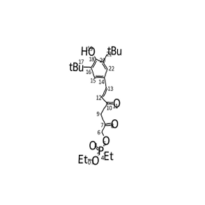 CCOP(=O)(CC)OCC(=O)CC(=O)C=Cc1cc(C(C)(C)C)c(O)c(C(C)(C)C)c1